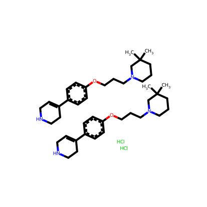 CC1(C)CCCN(CCCOc2ccc(C3=CCNCC3)cc2)C1.CC1(C)CCCN(CCCOc2ccc(C3=CCNCC3)cc2)C1.Cl.Cl